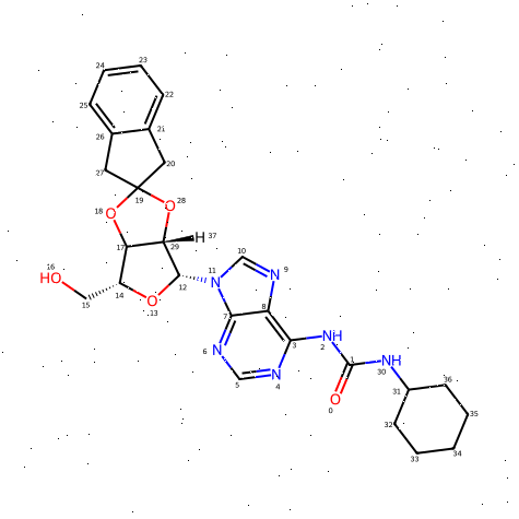 O=C(Nc1ncnc2c1ncn2[C@@H]1O[C@H](CO)C2OC3(Cc4ccccc4C3)O[C@@H]21)NC1CCCCC1